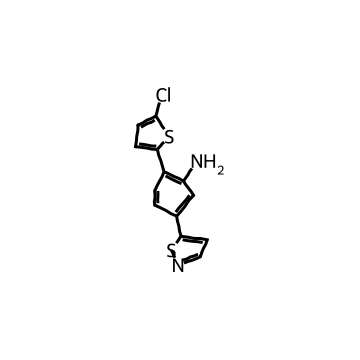 Nc1cc(-c2ccns2)ccc1-c1ccc(Cl)s1